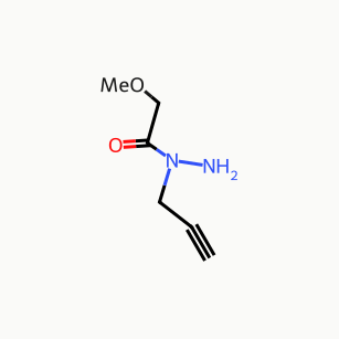 C#CCN(N)C(=O)COC